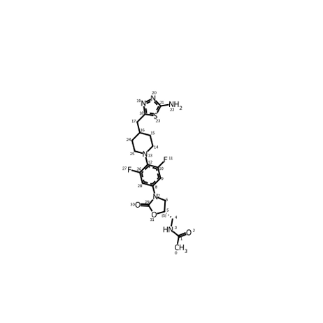 CC(=O)NC[C@H]1CN(c2cc(F)c(N3CCC(Cc4nnc(N)s4)CC3)c(F)c2)C(=O)O1